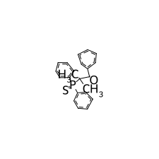 CC(C)(C(=O)c1ccccc1)P(=S)(c1ccccc1)c1ccccc1